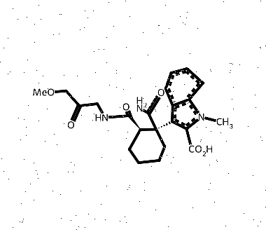 COCC(=O)CNC(=O)[C@@H]1CCCC[C@@]1(C(N)=O)c1c(C(=O)O)n(C)c2ccccc12